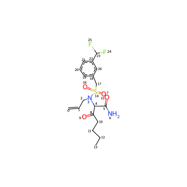 C=CCN(C(C(N)=O)C(=O)CCCC)S(=O)(=O)Cc1cccc(C(F)F)c1